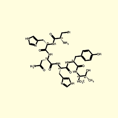 CC(C)C[C@H](N)C(=O)N[C@@H](Cc1c[nH]cn1)C(=O)N[C@@H](CC(N)=O)C(=O)N[C@@H](Cc1c[nH]cn1)C(=O)N[C@@H](Cc1ccc(O)cc1)C(=O)N[C@H](C(=O)O)[C@@H](C)O